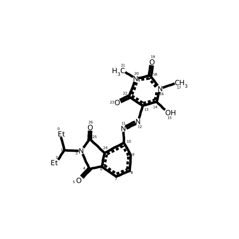 CCC(CC)N1C(=O)c2cccc(N=Nc3c(O)n(C)c(=O)n(C)c3=O)c2C1=O